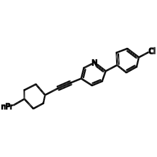 CCCC1CCC(C#Cc2ccc(-c3ccc(Cl)cc3)nc2)CC1